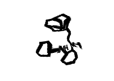 c1ccc(Nc2ccccc2NCCC2C3CC4CC(C3)CC2C4)cc1